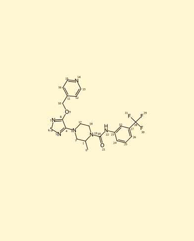 CC1CN(c2nsnc2OCc2ccncc2)CCN1C(=O)Nc1cccc(C(F)(F)F)c1